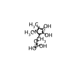 Cc1c(O)c(O)c(C)n1C.O=S(O)O